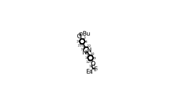 CCCCOc1ccc(-c2cnc(-c3ccc(OCC(F)CC)cc3)nc2)cc1